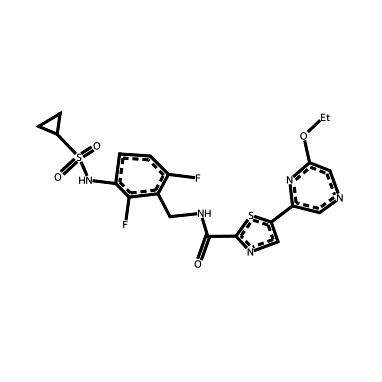 CCOc1cncc(-c2cnc(C(=O)NCc3c(F)ccc(NS(=O)(=O)C4CC4)c3F)s2)n1